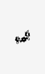 CN1CCN(C(=O)c2ccc(Cn3cnccc3=O)cc2)CC1